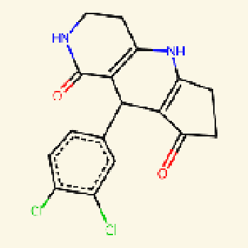 O=C1CCC2=C1C(c1ccc(Cl)c(Cl)c1)C1=C(CCNC1=O)N2